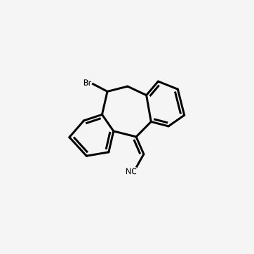 N#CC=C1c2ccccc2CC(Br)c2ccccc21